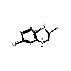 C[C@H]1CNc2cc(Cl)ccc2O1